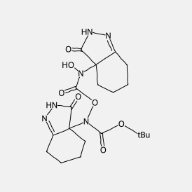 CC(C)(C)OC(=O)N(OC(=O)N(O)C12CCCCC1=NNC2=O)C12CCCCC1=NNC2=O